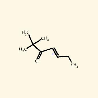 CC/C=C/C(=O)C(C)(C)C